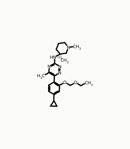 CCOCOc1cc(C2CC2)ccc1-c1nnc(N[C@@]2(C)CCCN(C)C2)nc1C